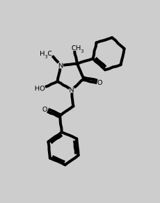 CN1C(O)N(CC(=O)c2ccccc2)C(=O)C1(C)C1=CCCCC1